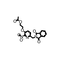 CC(=O)OCCOc1ccc(CN2C(=O)c3ccccc3C2=O)nc1[N+](=O)[O-]